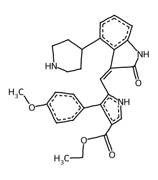 CCOC(=O)c1c[nH]c(C=C2C(=O)Nc3cccc(C4CCNCC4)c32)c1-c1ccc(OC)cc1